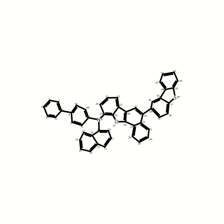 c1ccc(-c2ccc(N(c3cccc4ccccc34)c3cccc4c3oc3c5ccccc5c(-c5ccc6sc7ccccc7c6c5)cc43)cc2)cc1